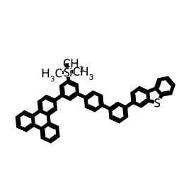 C[Si](C)(C)c1cc(-c2ccc(-c3cccc(-c4ccc5c(c4)sc4ccccc45)c3)cc2)cc(-c2ccc3c4ccccc4c4ccccc4c3c2)c1